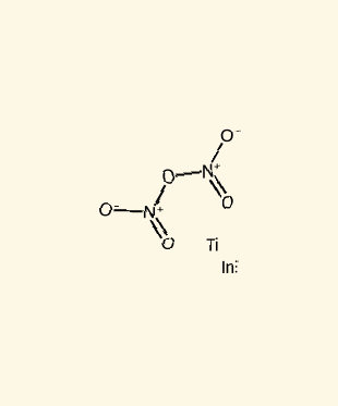 O=[N+]([O-])O[N+](=O)[O-].[In].[Ti]